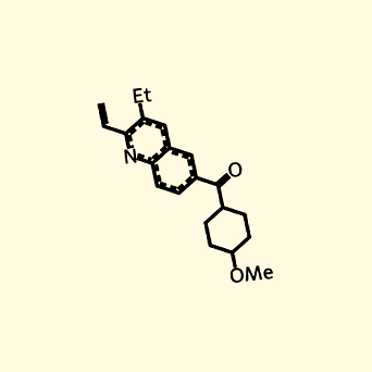 C=Cc1nc2ccc(C(=O)C3CCC(OC)CC3)cc2cc1CC